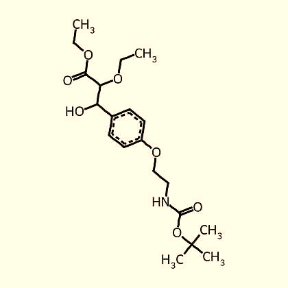 CCOC(=O)C(OCC)C(O)c1ccc(OCCNC(=O)OC(C)(C)C)cc1